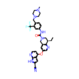 CC[C@@H]1CN(C(=O)Nc2ccc(CN3CCN(C)CC3)c(C(F)(F)F)c2)Cc2cc(Oc3ccnc4[nH]c(C#N)cc34)cnc21